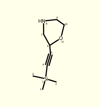 C[Si](C)(C)C#CC1CNCCO1